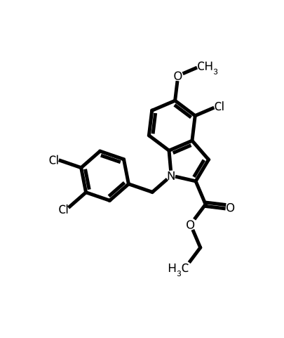 CCOC(=O)c1cc2c(Cl)c(OC)ccc2n1Cc1ccc(Cl)c(Cl)c1